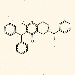 Cc1nc2c(c(=O)n1C(c1ccccc1)c1ccccc1)CN(C(C)c1ccccc1)CC2